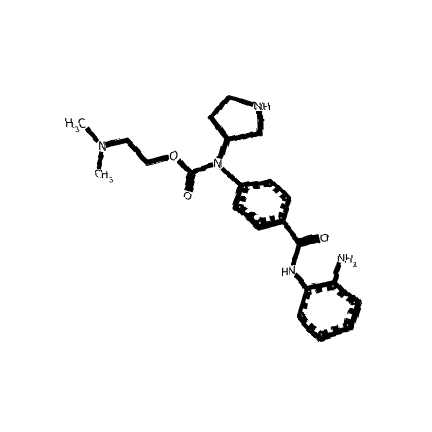 CN(C)CCOC(=O)N(c1ccc(C(=O)Nc2ccccc2N)cc1)C1CCNC1